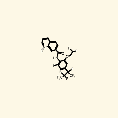 O=C(Nc1c(I)cc(C(F)(C(F)(F)F)C(F)(F)C(F)(F)F)cc1OCC(F)F)c1ccc2ccc[n+]([O-])c2c1